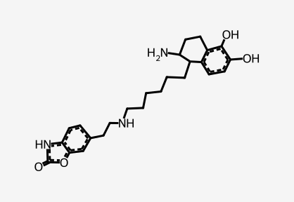 NC1CCc2c(ccc(O)c2O)C1CCCCCCNCCc1ccc2[nH]c(=O)oc2c1